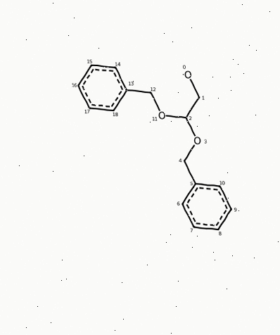 [O]CC(OCc1ccccc1)OCc1ccccc1